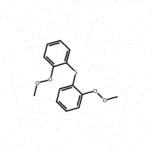 COOc1ccccc1Sc1ccccc1OOC